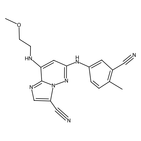 COCCNc1cc(Nc2ccc(C)c(C#N)c2)nn2c(C#N)cnc12